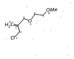 C=C(CCl)COCCOC